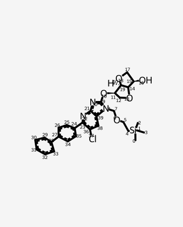 C[Si](C)(C)CCOCn1c(O[C@@H]2COC3[C@H](O)CO[C@@H]32)nc2nc(-c3ccc(-c4ccccc4)cc3)c(Cl)cc21